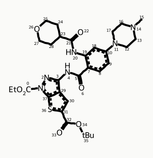 CCOC(=O)n1nc(NC(=O)c2ccc(N3CCN(C)CC3)cc2NC(=O)C2CCOCC2)c2cc(C(=O)OC(C)(C)C)sc21